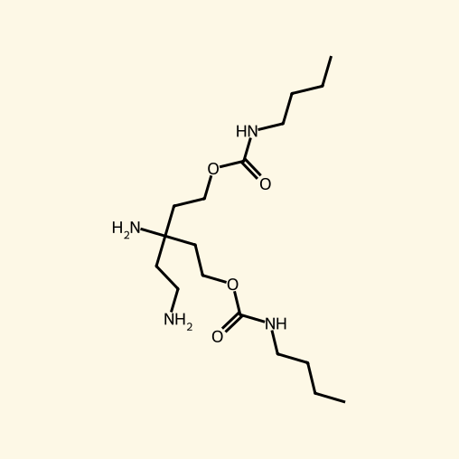 CCCCNC(=O)OCCC(N)(CCN)CCOC(=O)NCCCC